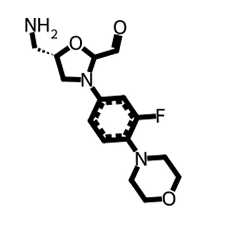 NC[C@H]1CN(c2ccc(N3CCOCC3)c(F)c2)C(C=O)O1